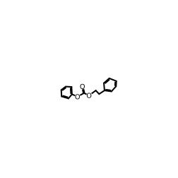 O=C(OCCc1ccccc1)Oc1ccccc1